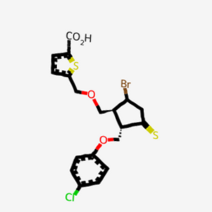 O=C(O)c1ccc(COC[C@H]2C(Br)CC(=S)[C@@H]2COc2ccc(Cl)cc2)s1